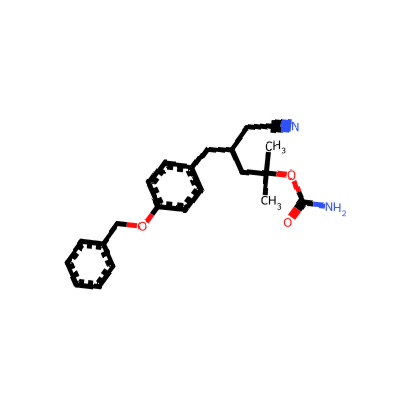 CC(C)(CC(CC#N)Cc1ccc(OCc2ccccc2)cc1)OC(N)=O